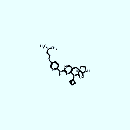 CN(C)CCOc1ccc(Nc2ncc3c(n2)N(C24CC(C2)C4)C(=O)[C@]2(CCNC2=O)C3)nc1